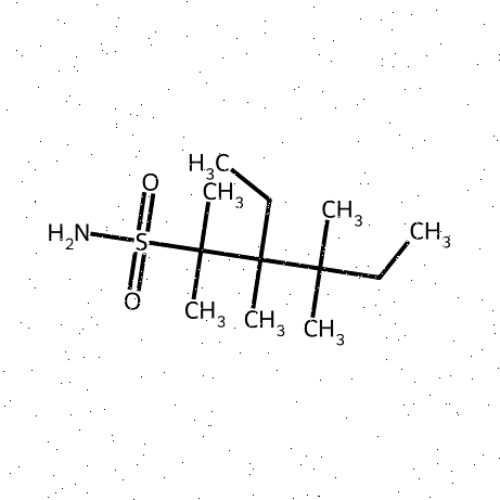 CCC(C)(C)C(C)(CC)C(C)(C)S(N)(=O)=O